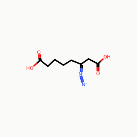 [N-]=[N+]=C(CCCCC(=O)O)CC(=O)O